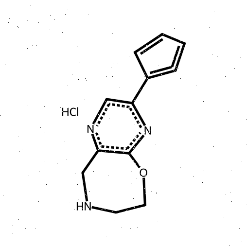 C1=CC=CC=1c1cnc2c(n1)OCCNC2.Cl